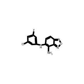 Nc1c(Nc2cc(F)cc(Cl)c2)ccc2nonc12